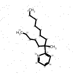 CCCCCCCC(C)(CCCCC)c1ccccn1